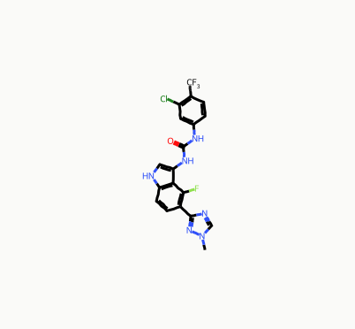 Cn1cnc(-c2ccc3[nH]cc(NC(=O)Nc4ccc(C(F)(F)F)c(Cl)c4)c3c2F)n1